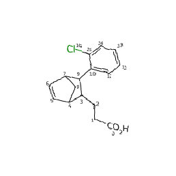 O=C(O)CCC1C2C=CC(C2)C1c1ccccc1Cl